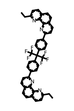 CCc1ccc2ccc3ccc(-c4ccc(C(c5ccc(-c6ccc7ccc8ccc(CC)nc8c7n6)cc5)(C(F)(F)F)C(F)(F)F)cc4)nc3c2n1